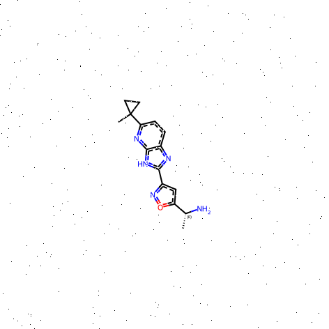 C[C@@H](N)c1cc(-c2nc3ccc(C4(C)CC4)nc3[nH]2)no1